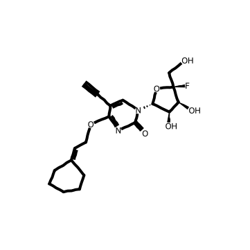 C#Cc1cn([C@@H]2O[C@](F)(CO)[C@@H](O)[C@H]2O)c(=O)nc1OCC=C1CCCCC1